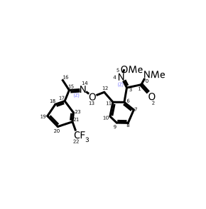 CNC(=O)/C(=N\OC)c1ccccc1CO/N=C(/C)c1cccc(C(F)(F)F)c1